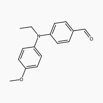 CCN(c1ccc(C=O)cc1)c1ccc(OC)cc1